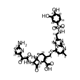 Cc1cc(SCC2=C(C(=O)O)N3C(=O)[C@@H](NC(=O)C(=O)c4csc(N)n4)[C@H]3SC2)n2nc(CNS(=O)(=O)c3ccc(O)c(O)c3)nc2n1